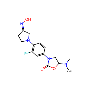 CC(=O)N(C)C1CN(c2ccc(N3CCC(=NO)C3)c(F)c2)C(=O)O1